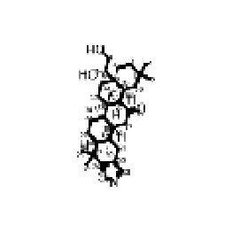 CC1(C)CC[C@]2([C@H](O)CO)CC[C@]3(C)[C@H](C(=O)C[C@@H]4[C@@]5(C)Cc6cnoc6C(C)(C)[C@@H]5CC[C@]43C)[C@@H]2C1